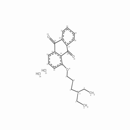 CCN(CC)CCCOc1cccc2c1C(=O)c1ccccc1C2=O.Cl.Cl